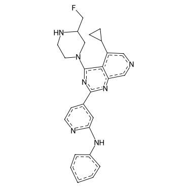 FCC1CN(c2nc(-c3ccnc(Nc4ccccc4)c3)nc3cncc(C4CC4)c23)CCN1